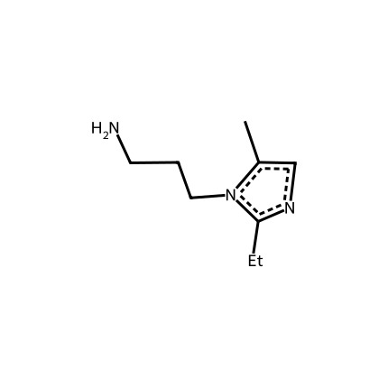 CCc1ncc(C)n1CCCN